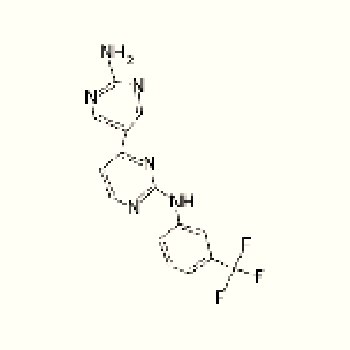 Nc1ncc(-c2ccnc(Nc3cccc(C(F)(F)F)c3)n2)cn1